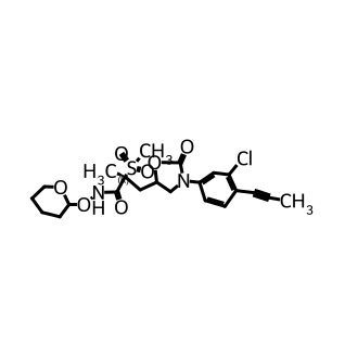 CC#Cc1ccc(N2CC(C[C@](C)(C(=O)NOC3CCCCO3)S(C)(=O)=O)OC2=O)cc1Cl